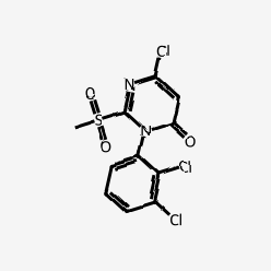 CS(=O)(=O)c1nc(Cl)cc(=O)n1-c1cccc(Cl)c1Cl